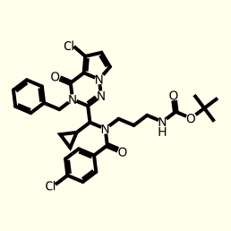 CC(C)(C)OC(=O)NCCCN(C(=O)c1ccc(Cl)cc1)C(c1nn2ccc(Cl)c2c(=O)n1Cc1ccccc1)C1CC1